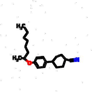 CCCCCCC(C)Oc1ccc(C2CCC(C#N)CC2)cc1